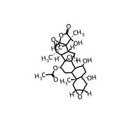 CC(=O)O[C@H]1CC2C([C@@H](O)C[C@@]3(O)C[C@@H]4O[C@@H]4C[C@]23C)[C@@H]2C[C@@H]3[C@H]([C@H](C)[C@H]4O[C@]45OC(=O)[C@@](C)(O)[C@]35C)[C@@]12C